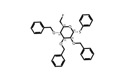 FC[C@H]1O[C@H](Sc2ccccc2)[C@@H](OCc2ccccc2)[C@@H](OCc2ccccc2)[C@@H]1OCc1ccccc1